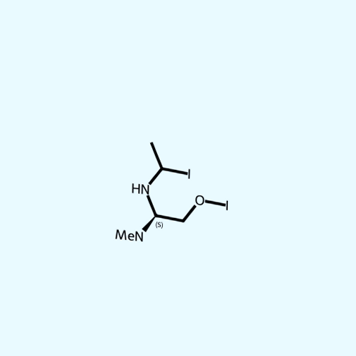 CN[C@H](COI)NC(C)I